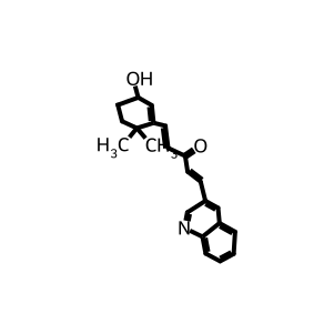 CC1(C)CCC(O)C=C1/C=C/C(=O)/C=C/c1cnc2ccccc2c1